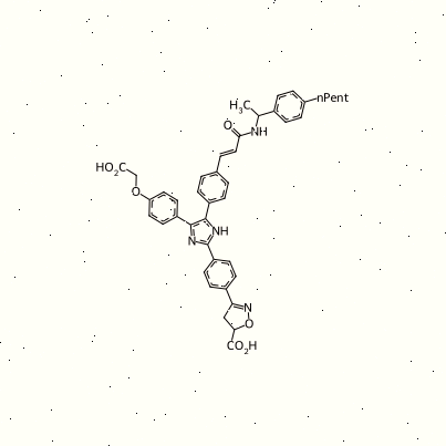 CCCCCc1ccc(C(C)NC(=O)C=Cc2ccc(-c3[nH]c(-c4ccc(C5=NOC(C(=O)O)C5)cc4)nc3-c3ccc(OCC(=O)O)cc3)cc2)cc1